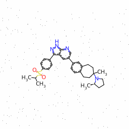 CC(C)S(=O)(=O)c1ccc(-c2n[nH]c3ncc(-c4ccc5c(c4)CCC(C)(N4CCC[C@H]4C)CC5)cc23)cc1